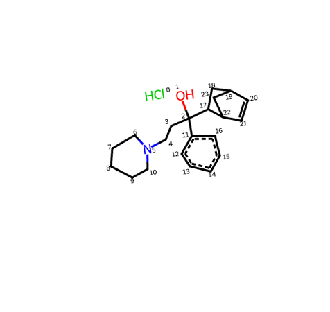 Cl.OC(CCN1CCCCC1)(c1ccccc1)C1CC2C=CC1C2